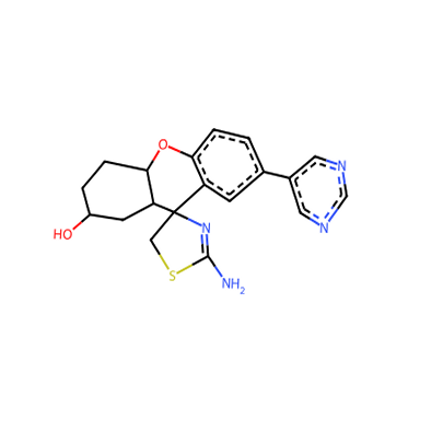 NC1=NC2(CS1)c1cc(-c3cncnc3)ccc1OC1CCC(O)CC12